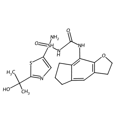 CC(C)(O)c1ncc([SH](N)(=O)NC(=O)Nc2c3c(cc4c2OCC4)CCC3)s1